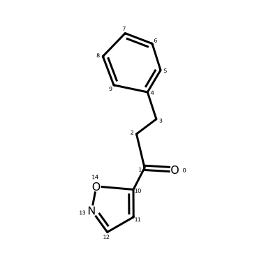 O=C(CCc1ccccc1)c1ccno1